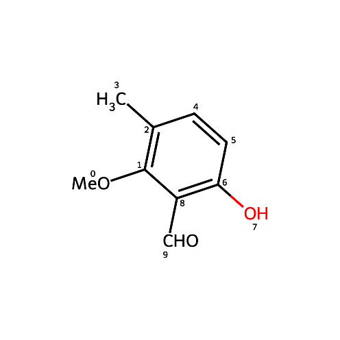 COc1c(C)ccc(O)c1C=O